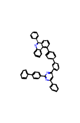 c1ccc(-c2ccc(-c3nc(-c4ccccc4)cc(-c4cccc(-c5ccc(-c6cccc7c(-c8ccccc8)nc8ccccc8c67)cc5)c4)n3)cc2)cc1